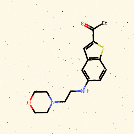 CCC(=O)c1cc2cc(NCCN3CCOCC3)ccc2s1